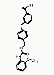 COc1ccccc1NC(=O)NCc1ccc(Oc2ccnc(C(=O)O)c2)cc1